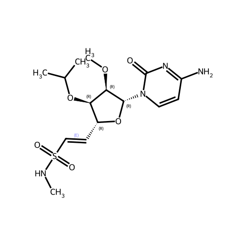 CNS(=O)(=O)/C=C/[C@H]1O[C@@H](n2ccc(N)nc2=O)[C@H](OC)[C@@H]1OC(C)C